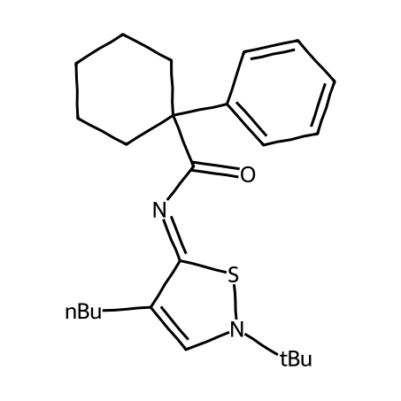 CCCCc1cn(C(C)(C)C)sc1=NC(=O)C1(c2ccccc2)CCCCC1